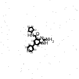 Nc1nc2c(C(=O)NC3CCCC3)cc(-c3ccncc3)cc2[nH]1